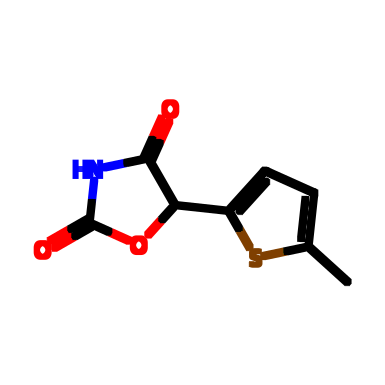 Cc1ccc(C2OC(=O)NC2=O)s1